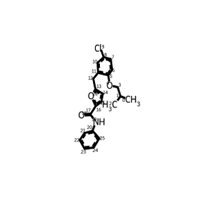 CC(C)COc1ccc(Cl)cc1Cc1ccc(C(=O)Nc2ccccc2)o1